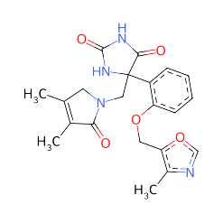 CC1=C(C)C(=O)N(CC2(c3ccccc3OCc3ocnc3C)NC(=O)NC2=O)C1